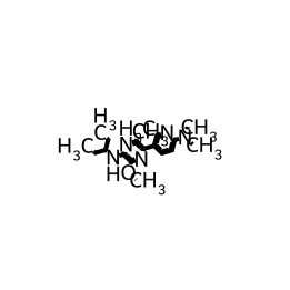 CCC(CC)Nc1nc(C)c(-c2ccc(N(C)C)nc2C)nc1OC